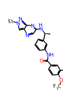 CCn1cc2ncc(N[C@@H](C)c3cccc(NC(=O)c4ccc(OC(F)(F)F)c(C)c4)c3)nc2n1